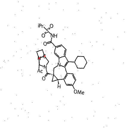 COc1ccc2c(c1)[C@@H]1C[C@]1(C(=O)N1CC34CCC3(C1)N(C(C)=O)C4)Cn1c-2c(C2CCCCC2)c2ccc(C(=O)NS(=O)(=O)C(C)C)cc21